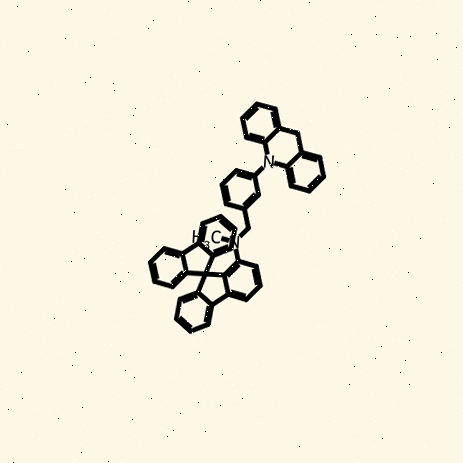 CN(Cc1cccc(N2c3ccccc3Cc3ccccc32)c1)c1cccc2c1C1(c3ccccc3-c3ccccc31)c1ccccc1-2